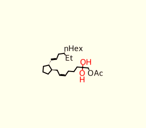 CCCCCC[C@H](CC)C/C=C/[C@H]1CCC[C@@H]1C/C=C\CCCC(O)(O)COC(C)=O